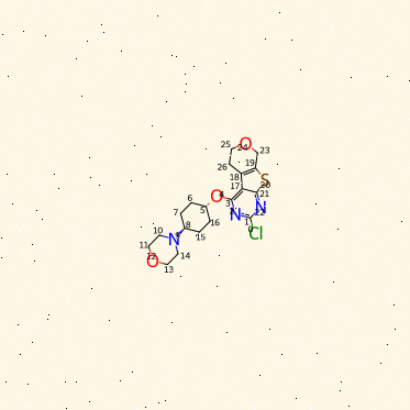 Clc1nc(O[C@H]2CC[C@H](N3CCOCC3)CC2)c2c3c(sc2n1)COCC3